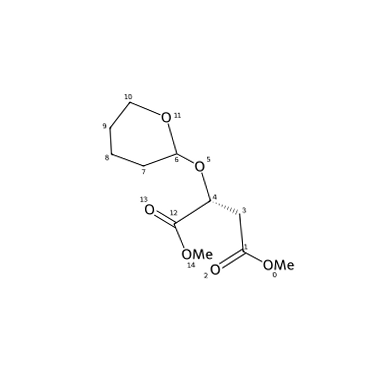 COC(=O)C[C@@H](OC1CCCCO1)C(=O)OC